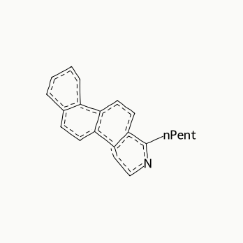 CCCCCc1nccc2c1ccc1c3ccccc3ccc21